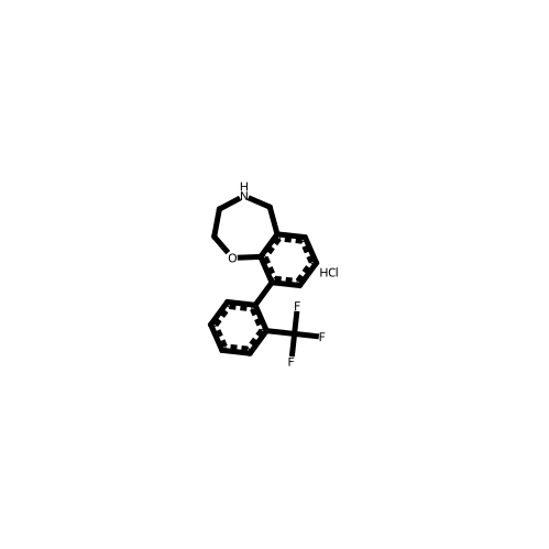 Cl.FC(F)(F)c1ccccc1-c1cccc2c1OCCNC2